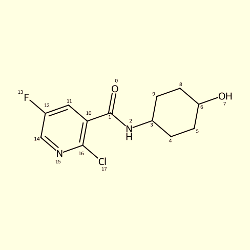 O=C(NC1CCC(O)CC1)c1cc(F)cnc1Cl